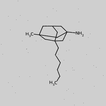 CCCCCCC12CC3CC(C)(CC(N)(C3)C1)C2